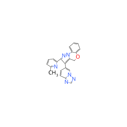 Cc1cccc(-c2nn3c(c2-c2ccc4ncnn4c2)COc2ccccc2-3)n1